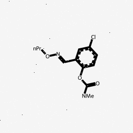 CCCON=Cc1cc(Cl)ccc1OC(=O)NC